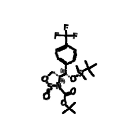 CC(C)(C)OC(=O)N1[C@@H]([C@@H](O[Si](C)(C)C(C)(C)C)c2ccc(C(F)(F)F)cc2)COS1=O